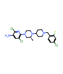 C[C@H]1CN(c2nc(Cl)c(N)cc2Cl)CCN1C1CCN(Cc2ccc(Cl)cc2F)CC1